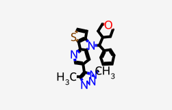 Cc1nnn(C)c1-c1cnc2c3sccc3n(C(c3ccccc3)C3CCOCC3)c2c1